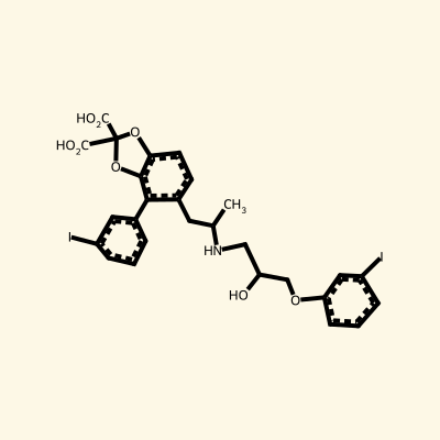 CC(Cc1ccc2c(c1-c1cccc(I)c1)OC(C(=O)O)(C(=O)O)O2)NCC(O)COc1cccc(I)c1